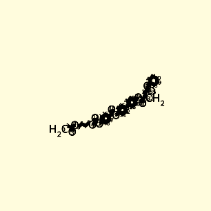 C=CC(=O)OCCCCOC(=O)Oc1ccc(C(=O)Oc2ccc(-c3ccc(OC(=O)C(=C)CC(=O)OC4CCCCC4)cc3)cc2)cc1